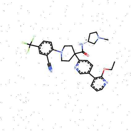 CCOc1ncccc1-c1ccc(C2(C(=O)N[C@@H]3CCN(C)C3)CCN(c3ccc(C(F)(F)F)cc3C#N)CC2)nc1